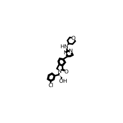 O=C1c2cc(-c3ccnc(NC4CCOCC4)n3)ccc2CN1[C@H](CO)c1cccc(Cl)c1